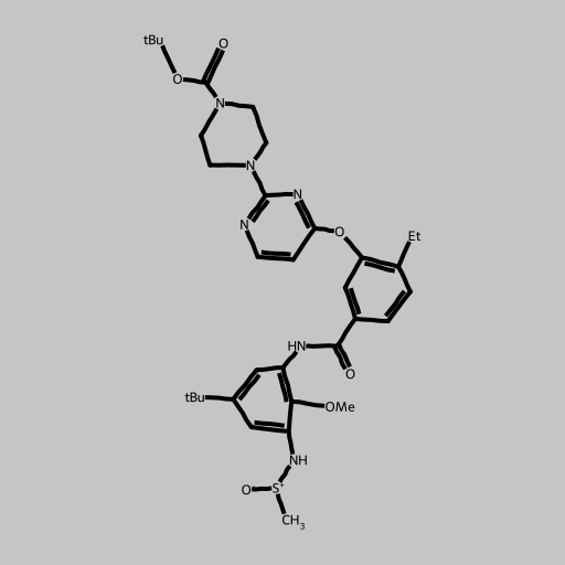 CCc1ccc(C(=O)Nc2cc(C(C)(C)C)cc(N[S+](C)[O-])c2OC)cc1Oc1ccnc(N2CCN(C(=O)OC(C)(C)C)CC2)n1